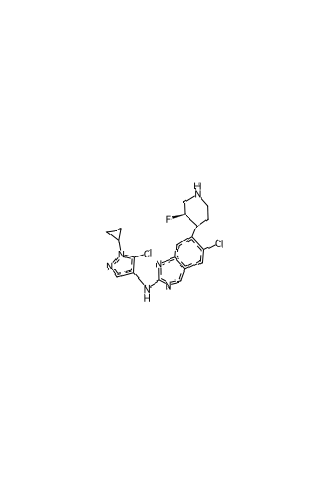 F[C@H]1CNCCC1c1cc2nc(Nc3cnn(C4CC4)c3Cl)ncc2cc1Cl